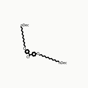 CCCCCCCCCCCCCCCCCCCCCCOc1ccc(C(Cl)c2ccc(OCCCCCCCCCCCCCCCCCCCCCC)cc2)cc1